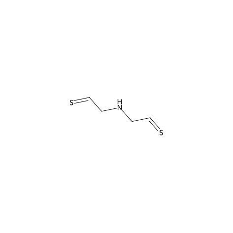 S=CCNCC=S